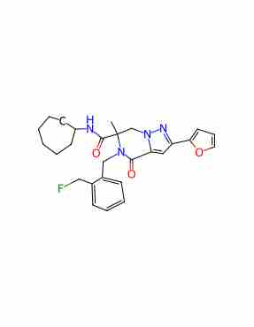 CC1(C(=O)NC2CCCCCC2)Cn2nc(-c3ccco3)cc2C(=O)N1Cc1ccccc1CF